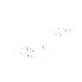 O=C(O)[C@H](CCN(CCCCc1ccc2c(n1)NCCC2)C1CC1)Nc1ncc(C2CC2)cn1